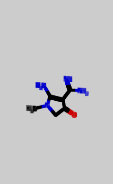 BN1CC(=O)C(C(=N)N)=C1N